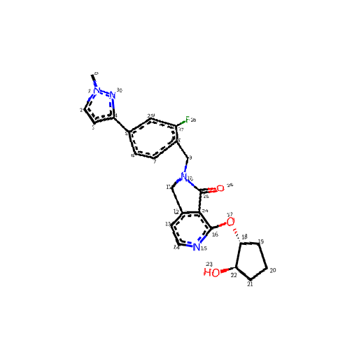 Cn1ccc(-c2ccc(CN3Cc4ccnc(O[C@@H]5CCC[C@H]5O)c4C3=O)c(F)c2)n1